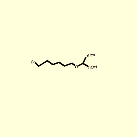 CCCCCCCCC(CCCCCC)OCCCCCCBr